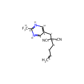 C=CCCC(C#N)(C#N)Cc1cnc(C(F)(F)F)nc1